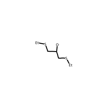 CCSCC([O])CSCC